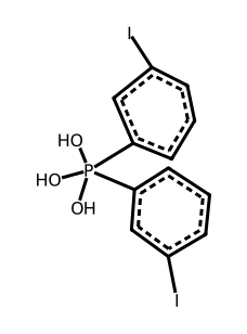 OP(O)(O)(c1cccc(I)c1)c1cccc(I)c1